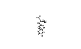 Cc1ccc2c(c1)CC[C@H](CC(C#N)C1CC1)O2